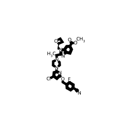 COC(=O)c1ccc2nc([C@H](C)N3CCN(c4cc(Cl)cc(OCc5ccc(C#N)cc5F)n4)CC3)n(C[C@@H]3CCO3)c2c1